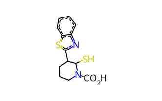 O=C(O)N1CCCC(c2nc3ccccc3s2)C1S